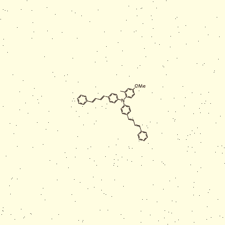 COc1ccc(N(c2ccc(/C=C/C=C/c3ccccc3)cc2)c2ccc(/C=C/C=C/c3ccccc3)cc2)c(C)c1